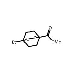 CCC12CCC(C(=O)OC)(CC1)CC2